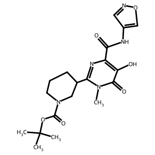 Cn1c(C2CCCN(C(=O)OC(C)(C)C)C2)nc(C(=O)Nc2cnoc2)c(O)c1=O